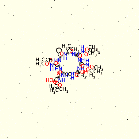 CC(C)C[C@@H]1NC(=O)[C@@H](Cc2ccccc2)NC(=O)[C@H](CCNC(=O)OC(C)(C)C)NC(=O)[C@@H](NC(=O)[C@H](CC(=O)O)NC(=O)OC(C)(C)C)CCNC(=O)[C@H]([C@@H](C)O)NC(=O)[C@H](CCNC(=O)OC(C)(C)C)NC(=O)[C@H](CCNC(=O)OC(C)(C)C)NC1=O